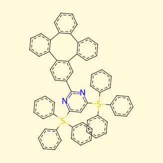 c1ccc(S(c2ccccc2)(c2ccccc2)c2cc(S(c3ccccc3)(c3ccccc3)c3ccccc3)nc(-c3ccc4c(c3)-c3ccccc3-c3ccccc3-c3ccccc3-4)n2)cc1